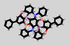 S=P12c3c4cc(-c5ccccc5)cc3Oc3c5c6c(c(c31)N(c1ccccc1)c1cccc(c12)O4)Oc1cc(-c2ccccc2)cc2c1P6(=S)c1c(cccc1N5c1ccccc1)O2